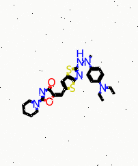 CCN(CC)c1ccc(N(C)Nc2nc3sc(/C=C4/OC(N5CCCCC5)=NC4=O)cc3s2)cc1